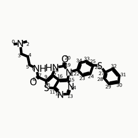 CN(C)CCCNC(=O)c1sc2ncnc3c2c1NC(=O)N3c1ccc(Sc2ccccc2)cc1